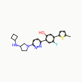 Cc1ccc(-c2cc(O)c(-c3ccc(N4CCC(NC5CCC5)C4)nn3)cc2F)s1